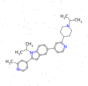 Cc1cc(-c2cc3cc(-c4ccnc(C5CCN(C(C)C)CC5)c4)ccc3n2C(C)C)ccn1